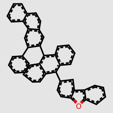 c1ccc(-c2cc3c(ccc4ccccc43)cc2-c2c3ccccc3c(-c3ccc4oc5ccccc5c4c3)c3ccccc23)cc1